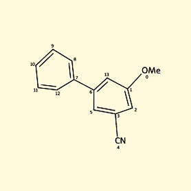 COc1cc(C#N)cc(-c2ccccc2)c1